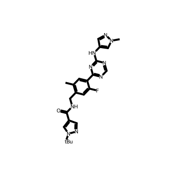 Cc1cc(-c2ncnc(Nc3cnn(C)c3)n2)c(F)cc1CNC(=O)c1cnn(C(C)(C)C)c1